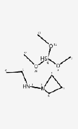 CCNN1CCC1.CO[SiH](OC)OC